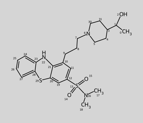 CC(O)C1CCN(CCCc2cc(S(=O)(=O)N(C)C)cc3c2Nc2ccccc2S3)CC1